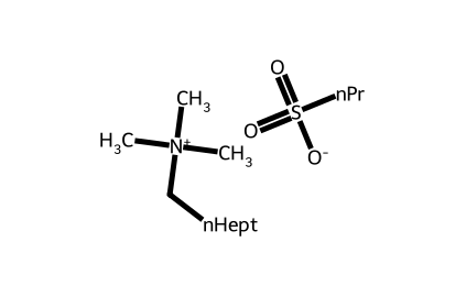 CCCCCCCC[N+](C)(C)C.CCCS(=O)(=O)[O-]